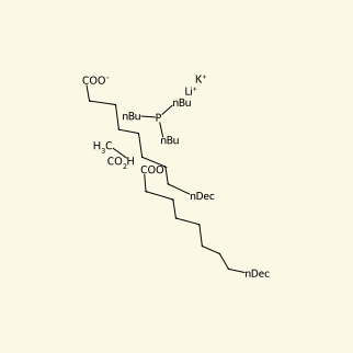 CC(=O)O.CCCCCCCCCCCCCCCCCC(=O)[O-].CCCCCCCCCCCCCCCCCC(=O)[O-].CCCCP(CCCC)CCCC.[K+].[Li+]